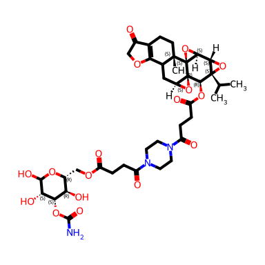 CC(C)[C@]12O[C@H]1[C@@H]1O[C@]13[C@]1(O[C@H]1CC1C4=C(CC[C@@]13C)C(=O)CO4)[C@@H]2OC(=O)CCC(=O)N1CCN(C(=O)CCC(=O)OC[C@H]2OC(O)[C@@H](O)[C@@H](OC(N)=O)[C@@H]2O)CC1